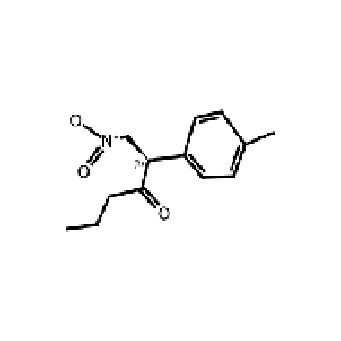 CCCC(=O)[C@@H](C[N+](=O)[O-])c1ccc(C)cc1